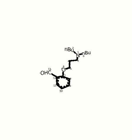 CCCCN(CCCC)CCCOc1ccccc1[C]=O